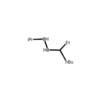 CCCCC(BBC(C)C)CC